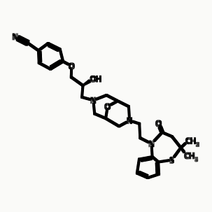 CC1(C)CC(=O)N(CCN2CC3CN(C[C@H](O)COc4ccc(C#N)cc4)CC(C2)O3)c2ccccc2S1